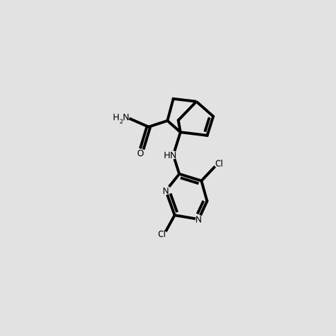 NC(=O)C1CC2C=CC1(Nc1nc(Cl)ncc1Cl)C2